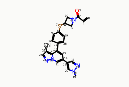 C=CC(=O)N1CC(Sc2ccc(-c3cc(-c4cnn(C)c4)cn4ncc(C#N)c34)cc2)C1